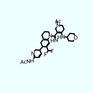 CC(=O)NC1=NCC(C2CC3=C(C=C2C(F)F)N(C(=N)C2=C(NC4CCOCC4)CCN(C(C)=O)C2)CCC3)C=C1